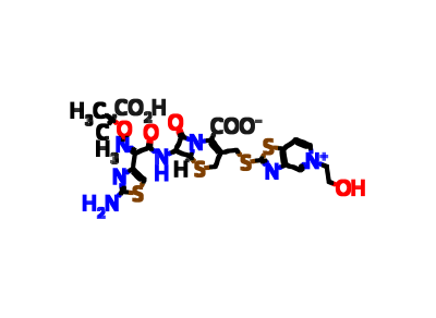 CC(C)(O/N=C(\C(=O)NC1C(=O)N2C(C(=O)[O-])=C(CSc3nc4c[n+](CCO)ccc4s3)CS[C@@H]12)c1csc(N)n1)C(=O)O